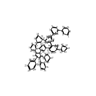 c1ccc(-c2cccc(-c3nc(-c4cccc(-c5cccc(-c6cc(-c7ccccc7)c(-c7ccccc7)c(-c7ccccc7)c6-c6ccccc6)c5)c4)nc(-c4cccc(-c5ccccc5)n4)n3)n2)cc1